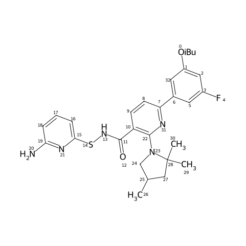 CC(C)COc1cc(F)cc(-c2ccc(C(=O)NSc3cccc(N)n3)c(N3CC(C)CC3(C)C)n2)c1